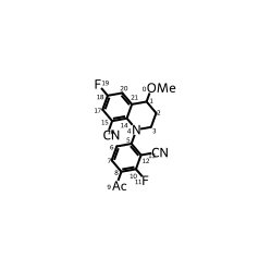 COC1CCN(c2ccc(C(C)=O)c(F)c2C#N)c2c(C#N)cc(F)cc21